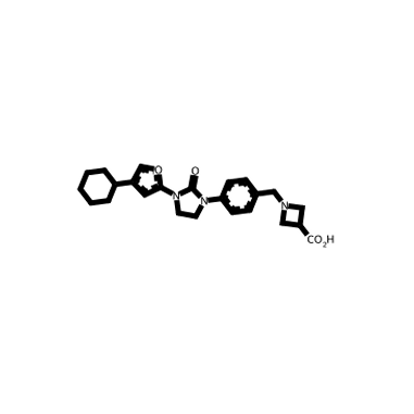 O=C(O)C1CN(Cc2ccc(N3CCN(c4cc(C5CCCCC5)co4)C3=O)cc2)C1